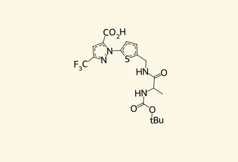 CC(NC(=O)OC(C)(C)C)C(=O)NCc1ccc(-n2nc(C(F)(F)F)cc2C(=O)O)s1